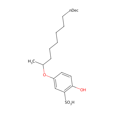 CCCCCCCCCCCCCCCCC(C)Oc1ccc(O)c(S(=O)(=O)O)c1